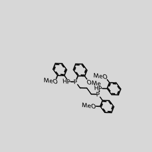 COc1ccccc1PP(CCCP(Pc1ccccc1OC)c1ccccc1OC)c1ccccc1OC